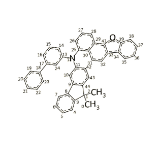 CC1(C)c2ccccc2-c2cc(N(c3cccc(-c4ccccc4)c3)c3cccc4c3ccc3c5ccccc5oc43)ccc21